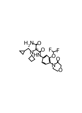 NC(=O)[C@@H](C(=O)Nc1ccc(N2CCOCC2=O)c(OC(F)F)c1)N(CC1CC1)C1CCC1